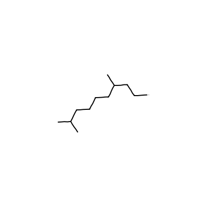 [CH2]CCC(C)CCCCC(C)C